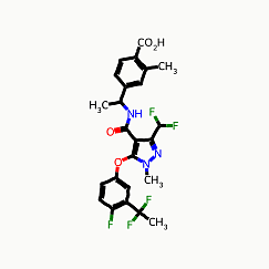 Cc1cc(C(C)NC(=O)c2c(C(F)F)nn(C)c2Oc2ccc(F)c(C(C)(F)F)c2)ccc1C(=O)O